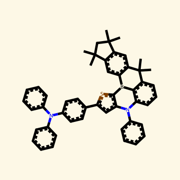 CC1(C)CC(C)(C)c2cc3c(cc21)B1c2sc(-c4ccc(N(c5ccccc5)c5ccccc5)cc4)cc2N(c2ccccc2)c2cccc(c21)C3(C)C